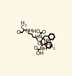 CC(C=O)NCCCCC[C@@H](Cc1ccccc1)C(Cc1ccccc1)(NC(=O)O)N[C@@H](C)C(=O)NC(=O)O